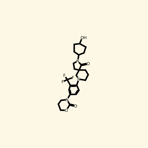 O=C1OCCCN1c1ccc(N2CCCC3(CCN(C4CCC(O)CC4)C3=O)C2)c(C(F)(F)F)c1